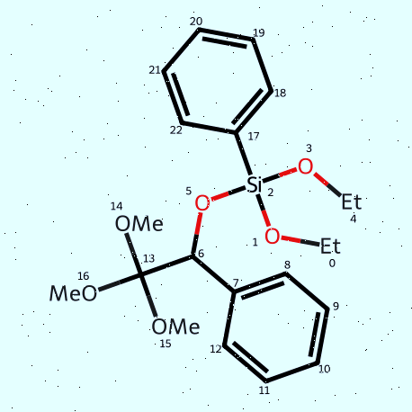 CCO[Si](OCC)(OC(c1ccccc1)C(OC)(OC)OC)c1ccccc1